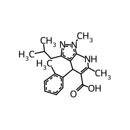 CC1=C(C(=O)O)C(c2ccccc2C)c2c(CC(C)C)nn(C)c2N1